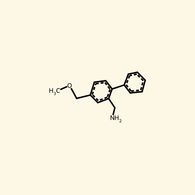 COCc1ccc(-c2ccccc2)c(CN)c1